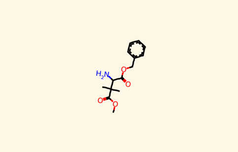 COC(=O)C(C)(C)C(N)C(=O)OCc1ccccc1